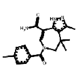 Cc1ccc(C(=O)N2C=C(C(N)=O)c3[nH]nc(C)c3C(C)(C)C2)cc1